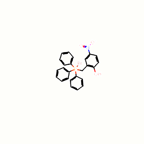 O=[N+]([O-])c1ccc(O)c(CP(Br)(c2ccccc2)(c2ccccc2)c2ccccc2)c1